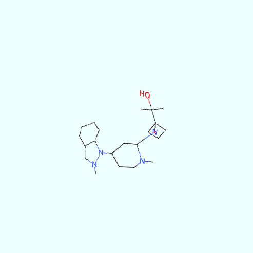 CN1CCC(N2C3CCCCC3CN2C)CC1N1CC2(C(C)(C)O)CC1C2